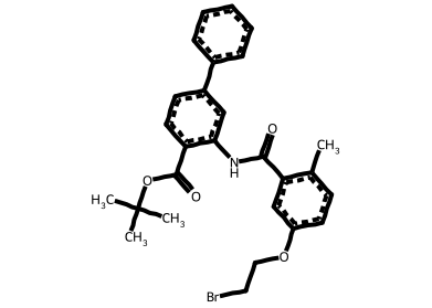 Cc1ccc(OCCBr)cc1C(=O)Nc1cc(-c2ccccc2)ccc1C(=O)OC(C)(C)C